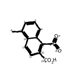 Cc1cccc2c(I(=O)=O)c(C(=O)O)ccc12